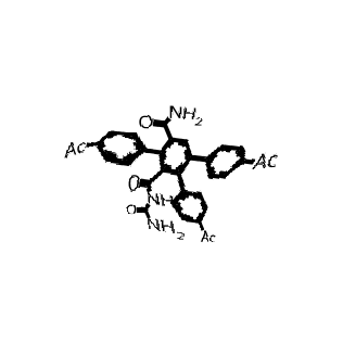 CC(=O)c1ccc(-c2cc(C(N)=O)c(-c3ccc(C(C)=O)cc3)c(C(=O)NC(N)=O)c2-c2ccc(C(C)=O)cc2)cc1